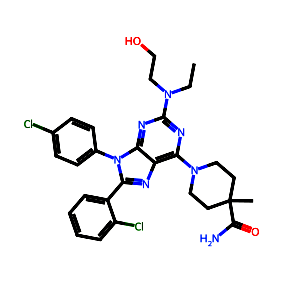 CCN(CCO)c1nc(N2CCC(C)(C(N)=O)CC2)c2nc(-c3ccccc3Cl)n(-c3ccc(Cl)cc3)c2n1